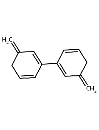 C=C1C=C(C2=CC(=C)CC=C2)C=CC1